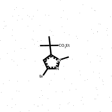 CCOC(=O)C(C)(C)c1cc(Br)nn1C